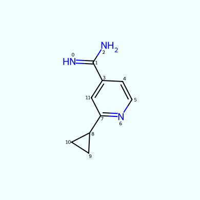 N=C(N)c1ccnc(C2CC2)c1